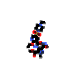 CCOc1ncc(S(=O)(=O)N2CCN(CC)CC2)cc1C(=O)Nc1c(C(N)=O)nn(C)c1C(=O)OC